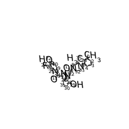 Cc1cccc(N2CCN(C(=O)Cn3nc(C(=O)N4CC[C@H](O)[C@@H](F)C4)c4c3C(O)CC4)CC2)c1C